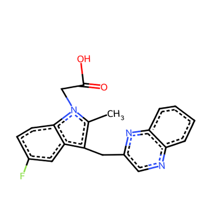 Cc1c(Cc2cnc3ccccc3n2)c2cc(F)ccc2n1CC(=O)O